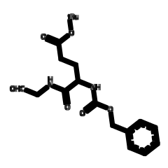 CC(C)(C)OC(=O)CCC(NC(=O)OCc1ccccc1)C(=O)NCC=O